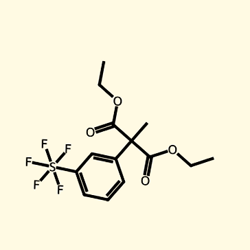 CCOC(=O)C(C)(C(=O)OCC)c1cccc(S(F)(F)(F)(F)F)c1